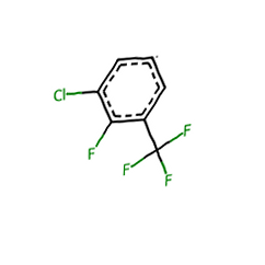 Fc1c(Cl)c[c]cc1C(F)(F)F